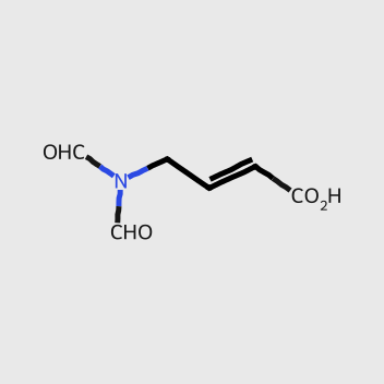 O=CN(C=O)CC=CC(=O)O